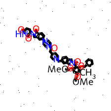 COCOc1cc(OCOC)c(C(=O)N2Cc3ccc(CN4CCC(CC(=O)N5CCN(c6ccc7c(c6)CN(C6CCC(=O)NC6=O)C7=O)CC5)CC4)cc3C2)c(OCC2CCCCC2)c1C